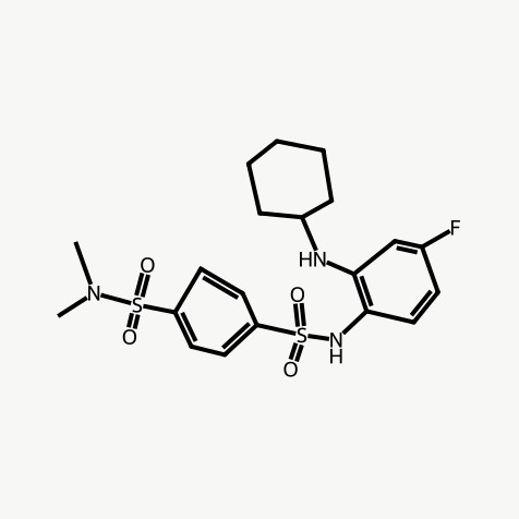 CN(C)S(=O)(=O)c1ccc(S(=O)(=O)Nc2ccc(F)cc2NC2CCCCC2)cc1